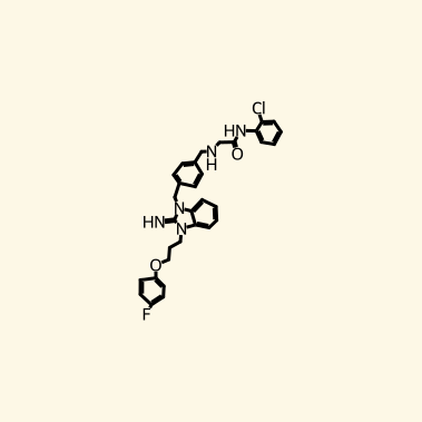 N=c1n(CCCOc2ccc(F)cc2)c2ccccc2n1Cc1ccc(CNCC(=O)Nc2ccccc2Cl)cc1